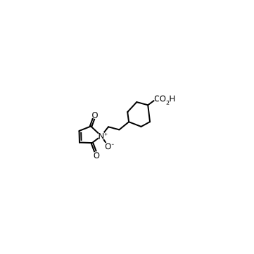 O=C(O)C1CCC(CC[N+]2([O-])C(=O)C=CC2=O)CC1